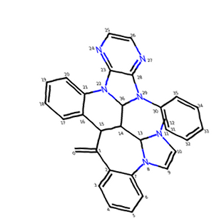 C=C1c2ccccc2N2C=CN(C)C2C2C1c1ccccc1N1c3nccnc3N(c3ccccc3)C21